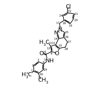 Cc1ccc(NC(=O)c2oc3c(c2C)-c2nn(Cc4cccc(Cl)c4)cc2CC3)cc1C